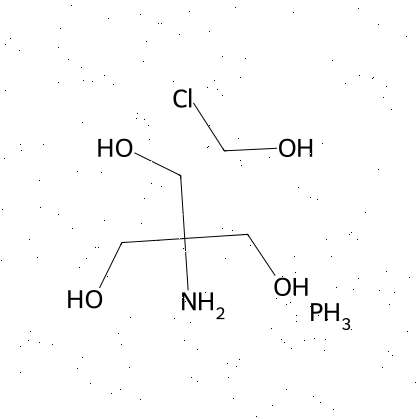 NC(CO)(CO)CO.OCCl.P